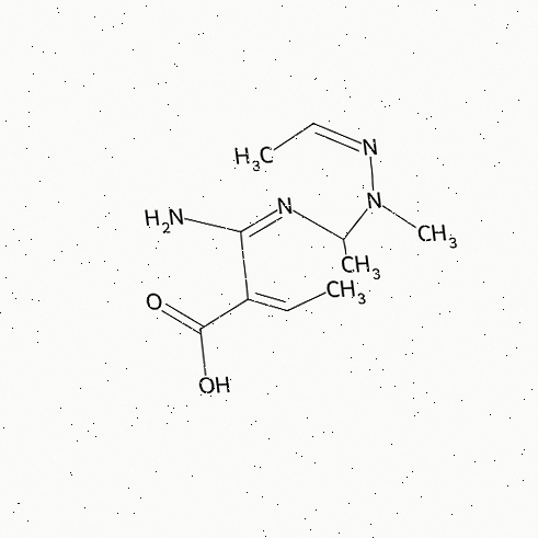 C/C=N\N(C)C(C)/N=C(N)\C(=C/C)C(=O)O